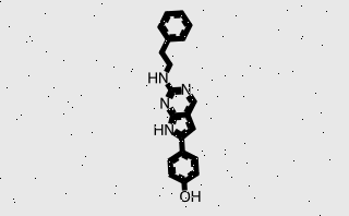 Oc1ccc(-c2cc3cnc(NCCc4ccccc4)nc3[nH]2)cc1